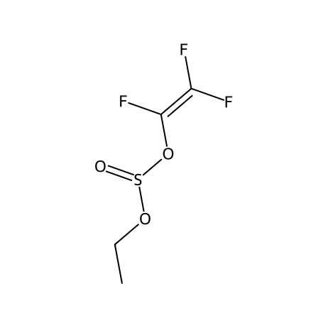 CCOS(=O)OC(F)=C(F)F